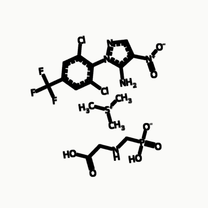 C[S+](C)C.Nc1c([N+](=O)[O-])cnn1-c1c(Cl)cc(C(F)(F)F)cc1Cl.O=C(O)CNCP(=O)([O-])O